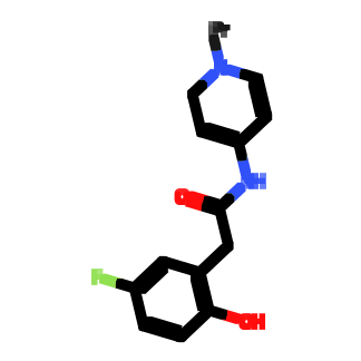 CC(C)N1C=CC(NC(=O)Cc2cc(F)ccc2O)=CC1